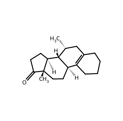 C[C@@H]1CC2=C(CCCC2)[C@H]2CC[C@]3(C)C(=O)CC[C@H]3[C@H]12